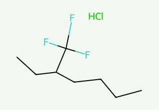 CCCCC(CC)C(F)(F)F.Cl